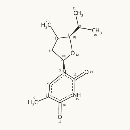 Cc1cn([C@H]2CC(C)[C@@H](C(C)C)O2)c(=O)[nH]c1=O